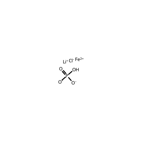 O=P([O-])([O-])O.[Cl-].[Fe+2].[Li+]